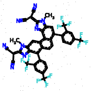 Cn1c(=C(C#N)C#N)nc2c(-c3ccc(C(F)(F)F)cc3C(F)(F)F)c3ccc4c(-c5ccc(C(F)(F)F)cc5C(F)(F)F)cc5c(nc(=C(C#N)C#N)n5C)c4c3cc21